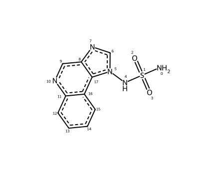 NS(=O)(=O)Nn1cnc2cnc3ccccc3c21